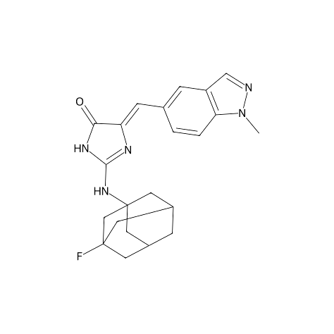 Cn1ncc2cc(/C=C3\N=C(NC45CC6CC(CC(F)(C6)C4)C5)NC3=O)ccc21